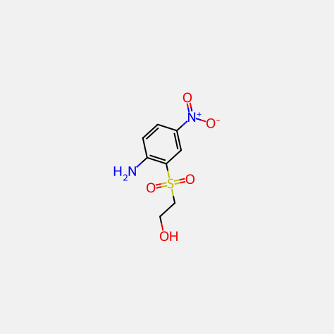 Nc1ccc([N+](=O)[O-])cc1S(=O)(=O)CCO